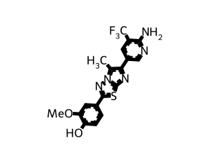 COc1cc(-c2nn3c(C)c(-c4cnc(N)c(C(F)(F)F)c4)nc3s2)ccc1O